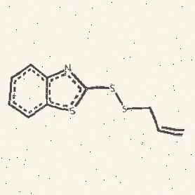 C=CCSSc1nc2ccccc2s1